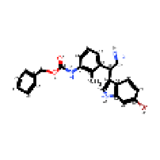 Cc1c(NC(=O)OCc2ccccc2)cccc1C(CN)c1c[nH]c2cc(Br)ccc12